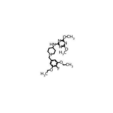 CCOc1cc(CN2CCC(Nc3nc(OC)nc(OC)n3)CC2)cc(OCC)c1F